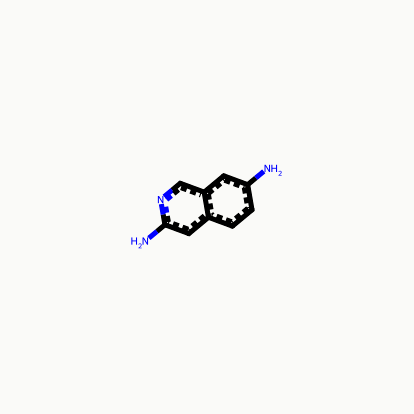 Nc1ccc2cc(N)ncc2c1